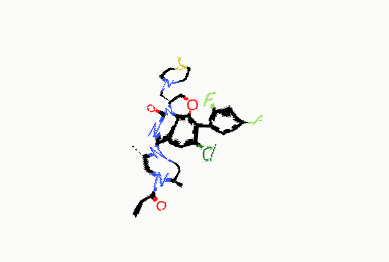 C=CC(=O)N1C[C@H](C)N(c2nc(=O)n3c4c(c(-c5ccc(F)cc5F)c(Cl)cc24)OC[C@@H]3CN2CCSCC2)C[C@H]1C